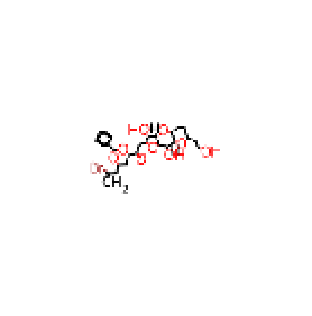 C=C(Br)CC(CCC(=O)CC1OC2C(O)[C@H]3OC(CCO)CCC3O[C@H]2C1O)OC(=O)c1ccccc1